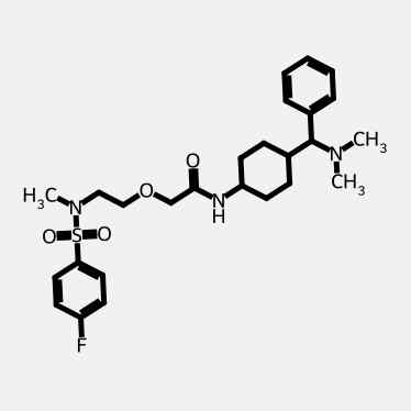 CN(C)C(c1ccccc1)C1CCC(NC(=O)COCCN(C)S(=O)(=O)c2ccc(F)cc2)CC1